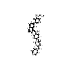 CNc1cncc(-c2ccc3ncnc(NC4CCC(N5CCC(CN6CCOCC6)CC5)CC4)c3c2)c1